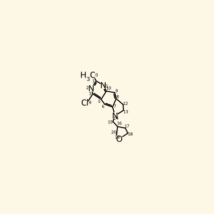 Cc1nc(Cl)c2cc3c(cc2n1)CCN3CC1CCOC1